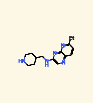 CCc1ccc2ncc(NCC3CCNCC3)nc2n1